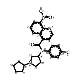 O=C(c1ccnc2c([N+](=O)[O-])cccc12)N(c1ccc(Cl)cc1)C1CCN(C2CCCC2)C1